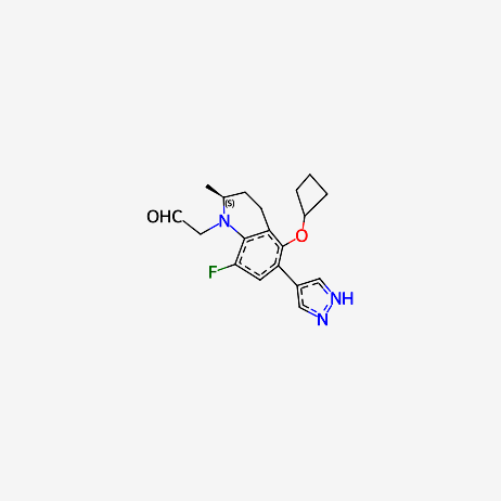 C[C@H]1CCc2c(OC3CCC3)c(-c3cn[nH]c3)cc(F)c2N1CC=O